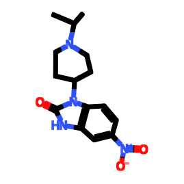 CC(C)N1CCC(n2c(=O)[nH]c3cc([N+](=O)[O-])ccc32)CC1